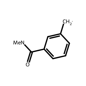 [CH2]c1cccc(C(=O)NC)c1